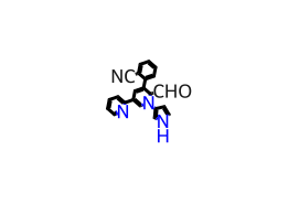 N#Cc1ccccc1C1=CC(c2ccccn2)=CN(c2cc[nH]c2)C1C=O